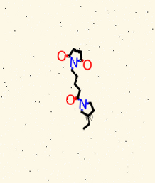 CC[C@@H]1CCN(C(=O)CCCCN2C(=O)C=CC2=O)C1